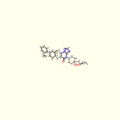 C=CCC1(O)CCC(n2c(=O)c(Cc3ccc(-c4ccccc4C#N)cc3)c(CCC)n3ncnc23)CC1